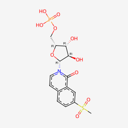 CS(=O)(=O)c1ccc2ccn([C@@H]3O[C@H](COP(=O)(O)O)[C@H](O)[C@H]3O)c(=O)c2c1